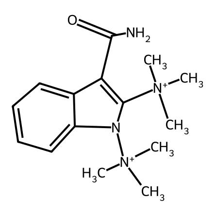 C[N+](C)(C)c1c(C(N)=O)c2ccccc2n1[N+](C)(C)C